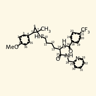 COc1ccc(C2CC2(C)NCCCCC(NC(=O)c2ccc(C(F)(F)F)cc2)C(=O)NCc2ccccn2)cc1